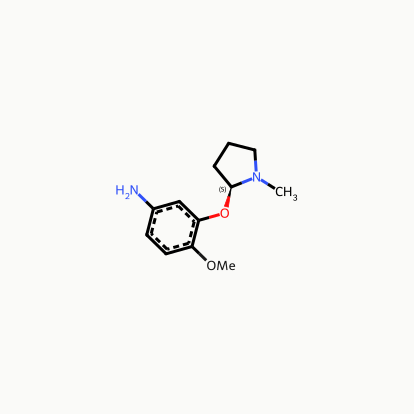 COc1ccc(N)cc1O[C@H]1CCCN1C